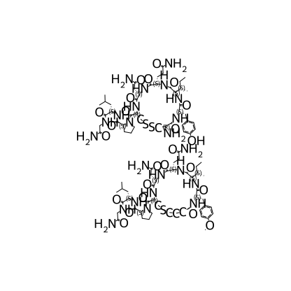 CC[C@H](C)[C@@H]1NC(=O)[C@H](Cc2ccc(O)cc2)NC(=O)[C@@H](N)CSSC[C@@H](C(=O)N2CCC[C@H]2C(=O)N[C@@H](CC(C)C)C(=O)NCC(N)=O)NC(=O)[C@H](CC(N)=O)NC(=O)[C@H](CCC(N)=O)NC1=O.CC[C@H](C)[C@@H]1NC(=O)[C@H](Cc2ccc(OC)cc2)NC(=O)CCCSC[C@@H](C(=O)N2CCC[C@H]2C(=O)N[C@@H](CC(C)C)C(=O)NCC(N)=O)NC(=O)[C@H](CC(N)=O)NC(=O)[C@H](CCC(N)=O)NC1=O